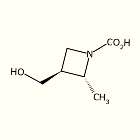 C[C@@H]1[C@@H](CO)CN1C(=O)O